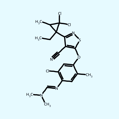 CCC1(c2nsc(Oc3cc(Cl)c(N=CN(C)C)cc3C)c2C#N)C(C)C1(Cl)Cl